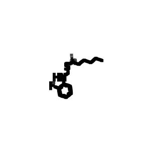 CCCCC[C@@H](C)SCNc1ccccc1F